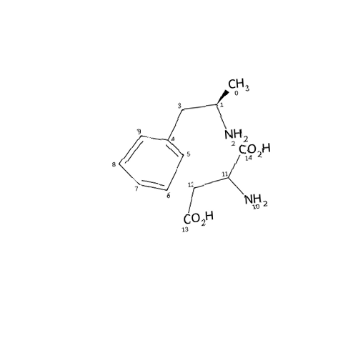 C[C@@H](N)Cc1ccccc1.NC(CC(=O)O)C(=O)O